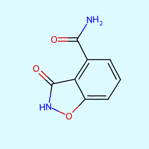 NC(=O)c1cccc2o[nH]c(=O)c12